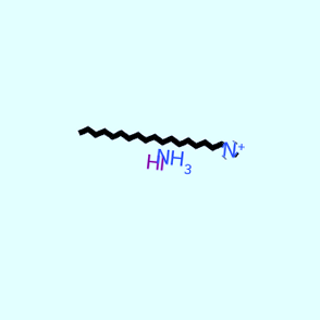 CCCCCCCCCCCCCCCCCC[N+](C)(C)C.I.N